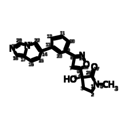 CN1CC[C@@](O)(c2cc(-c3cccc(-c4ccc5cncn5c4)c3)no2)C1=O